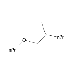 CC[CH]OCC(C)CCC